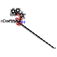 CC#CC#CC#CC#CC#CC#CC#CC#CC#CC#CC#CC#CC(=O)N[C@@H](CO[C@H]1OC(CO[Si](c2ccccc2)(c2ccccc2)C(C)(C)C)[C@H](C)[C@H](C)C1C)[C@H](O)[C@H](O)C=CCCCCCCCCCCCC